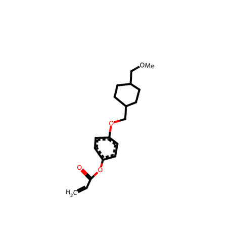 C=CC(=O)Oc1ccc(OCC2CCC(COC)CC2)cc1